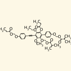 C=CC(=O)OCOc1ccc(C#Cc2c(OC)c(OCOC(=O)C(=C)C)c(-c3ccc(OCOC(=O)C(=C)C)cc3)c(OC(=O)C=C)c2OCC)cc1